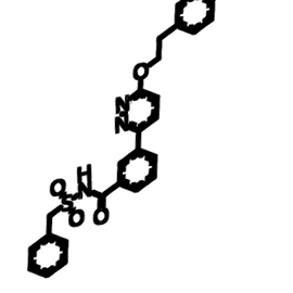 O=C(NS(=O)(=O)Cc1ccccc1)c1cccc(-c2ccc(OCCc3ccc(Cl)cc3)nn2)c1